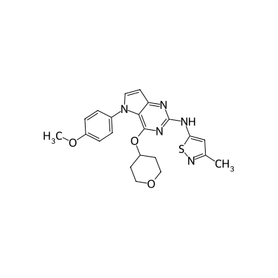 COc1ccc(-n2ccc3nc(Nc4cc(C)ns4)nc(OC4CCOCC4)c32)cc1